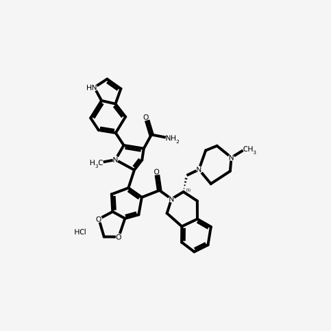 CN1CCN(C[C@@H]2Cc3ccccc3CN2C(=O)c2cc3c(cc2-c2cc(C(N)=O)c(-c4ccc5[nH]ccc5c4)n2C)OCO3)CC1.Cl